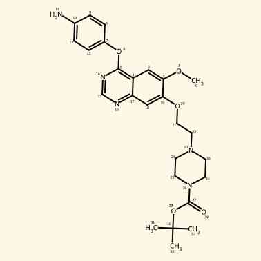 COc1cc2c(Oc3ccc(N)cc3)ncnc2cc1OCCN1CCN(C(=O)OC(C)(C)C)CC1